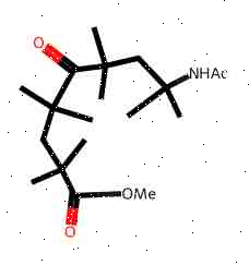 COC(=O)C(C)(C)CC(C)(C)C(=O)C(C)(C)CC(C)(C)NC(C)=O